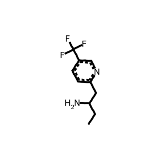 CCC(N)Cc1ccc(C(F)(F)F)cn1